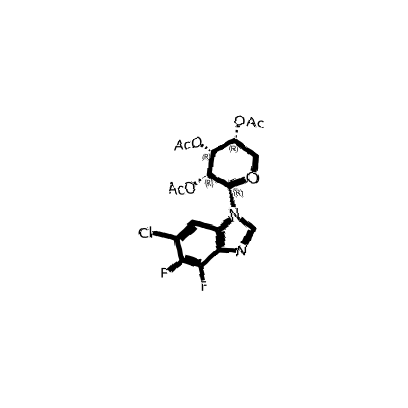 CC(=O)O[C@@H]1[C@H](OC(C)=O)[C@H](OC(C)=O)CO[C@H]1n1cnc2c(F)c(F)c(Cl)cc21